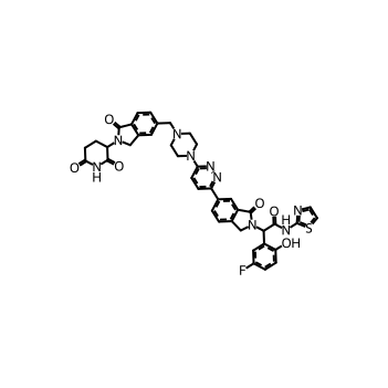 O=C1CCC(N2Cc3cc(CN4CCN(c5ccc(-c6ccc7c(c6)C(=O)N(C(C(=O)Nc6nccs6)c6cc(F)ccc6O)C7)nn5)CC4)ccc3C2=O)C(=O)N1